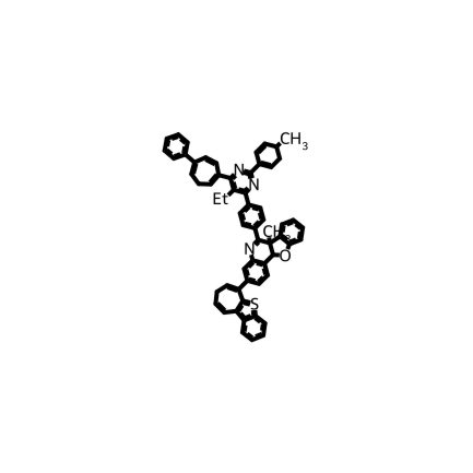 CCc1c(C2=CCC=C(c3ccccc3)C=C2)nc(C2=CCC(C)C=C2)nc1-c1ccc(C2=Nc3cc(C4=CCC=Cc5c4sc4ccccc54)ccc3C3Oc4ccccc4C23C)cc1